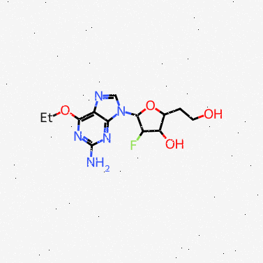 CCOc1nc(N)nc2c1ncn2C1OC(CCO)C(O)C1F